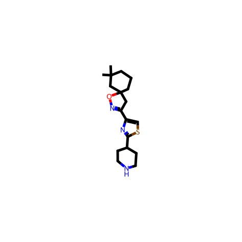 CC1(C)CCCC2(CC(c3csc(C4CCNCC4)n3)=NO2)C1